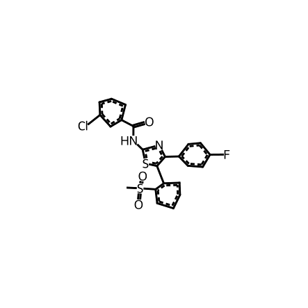 CS(=O)(=O)c1ccccc1-c1sc(NC(=O)c2cccc(Cl)c2)nc1-c1ccc(F)cc1